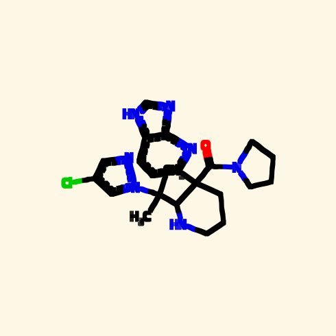 CC(C)(C1NCCCC1(C(=O)N1CCCC1)c1ccc2[nH]cnc2n1)n1cc(Cl)cn1